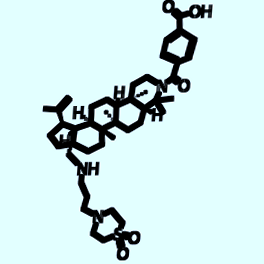 C=C(C)[C@@H]1CC[C@]2(CNCCCN3CCS(=O)(=O)CC3)CC[C@]3(C)[C@H](CC[C@@H]4[C@@]5(C)CCN(C(=O)c6ccc(C(=O)O)cc6)C(C)(C)[C@@H]5CC[C@]43C)[C@@H]12